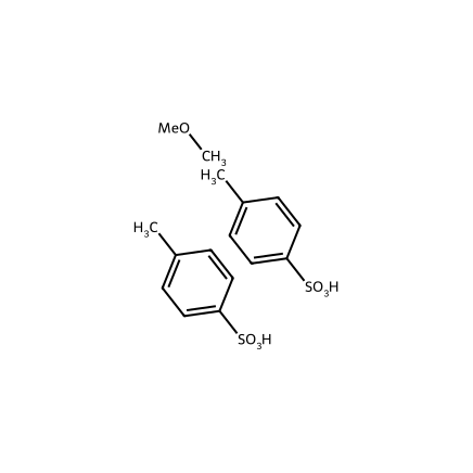 COC.Cc1ccc(S(=O)(=O)O)cc1.Cc1ccc(S(=O)(=O)O)cc1